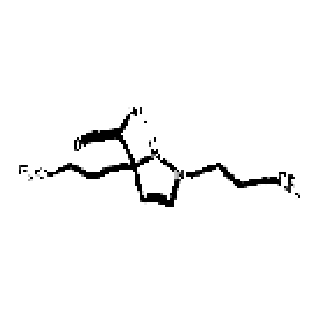 NC(=O)C1(CCC(F)(F)F)C=CN(CCC(F)(F)F)N1